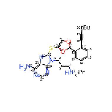 CC(C)NCCCn1c(SC2=COC(c3ccccc3C#CC(C)(C)C)O2)nc2c(N)ncnc21